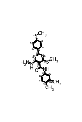 CSc1ccc(-c2nc(NN)c(C(=O)Nc3ccc(C)c(C)c3)c(SC)n2)cc1